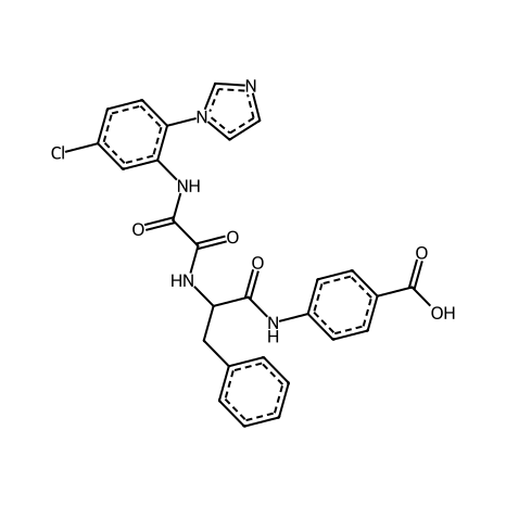 O=C(Nc1cc(Cl)ccc1-n1ccnc1)C(=O)NC(Cc1ccccc1)C(=O)Nc1ccc(C(=O)O)cc1